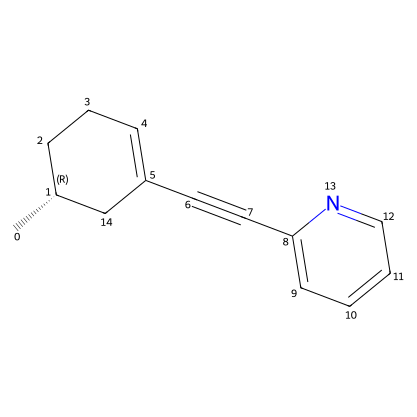 C[C@@H]1CCC=C(C#Cc2ccccn2)C1